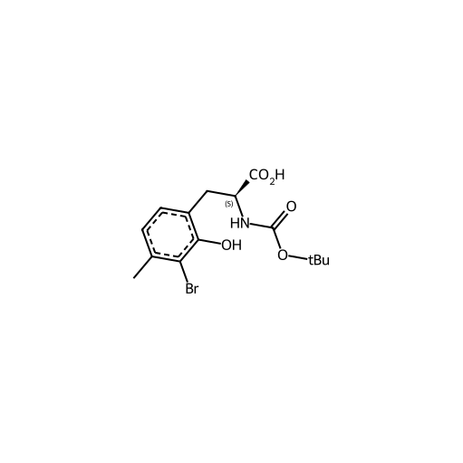 Cc1ccc(C[C@H](NC(=O)OC(C)(C)C)C(=O)O)c(O)c1Br